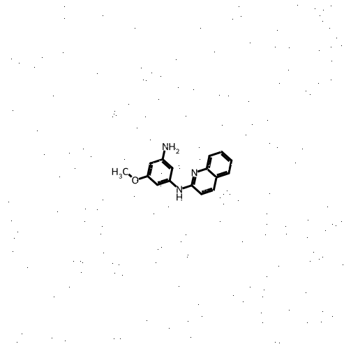 COc1cc(N)cc(Nc2ccc3ccccc3n2)c1